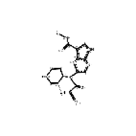 C=CC(=O)N(c1cnc2[nH]cc(C(=O)NC(C)C)c2n1)[C@@H]1CCNC[C@H]1O